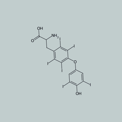 NC(Cc1c(I)c(I)c(Oc2cc(I)c(O)c(I)c2)c(I)c1I)C(=O)O